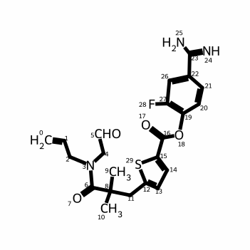 C=CCN(CC=O)C(=O)C(C)(C)Cc1ccc(C(=O)Oc2ccc(C(=N)N)cc2F)s1